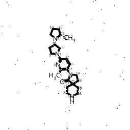 Cc1nc(N2CC[C@H](N3CCC[C@@H]3C)C2)ccc1N1CCC2(CCNCC2)C1=O